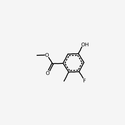 COC(=O)c1cc(O)cc(F)c1C